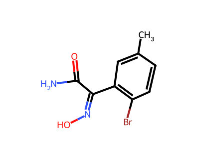 Cc1ccc(Br)c(C(=NO)C(N)=O)c1